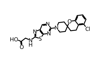 O=C(O)CNc1nc2cnc(N3CCC4(CCc5c(Cl)cccc5O4)CC3)nc2s1